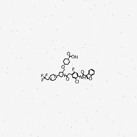 O=C(Nc1cc(F)c(CC(=O)N2C[C@@H](N3CCN(CC(F)(F)F)CC3)C[C@H]2CO[C@H]2CC[C@H](C(=O)O)CC2)cc1Cl)c1coc2ccccc12